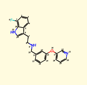 Fc1cccc2c(CCNCc3cccc(Oc4cccnc4)c3)c[nH]c12